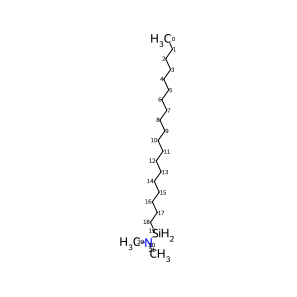 CCCCCCCCCCCCCCCCCCC[SiH2]N(C)C